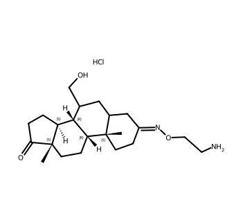 C[C@]12CCC(=NOCCN)CC1CC(CO)[C@@H]1[C@H]2CC[C@]2(C)C(=O)CC[C@@H]12.Cl